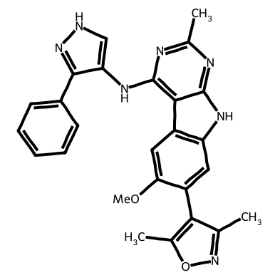 COc1cc2c(cc1-c1c(C)noc1C)[nH]c1nc(C)nc(Nc3c[nH]nc3-c3ccccc3)c12